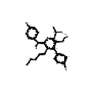 CCCCCc1c(C(O)c2ccc(F)cc2)nc(C(C)C)c(CO)c1-c1ccc(F)cc1